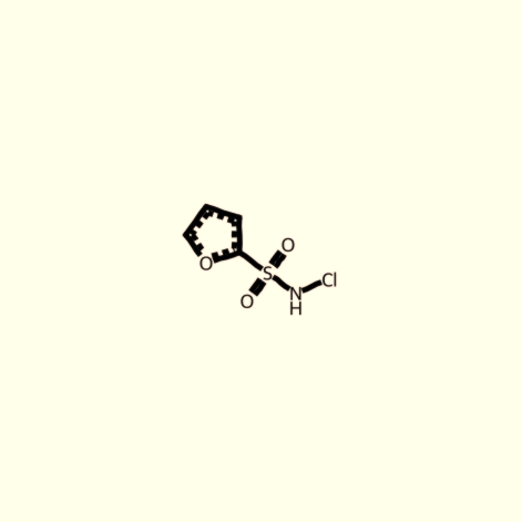 O=S(=O)(NCl)c1ccco1